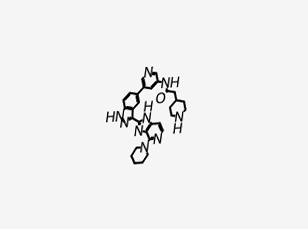 O=C(CC1CCNCC1)Nc1cncc(-c2ccc3[nH]nc(-c4nc5c(N6CCCCC6)nccc5[nH]4)c3c2)c1